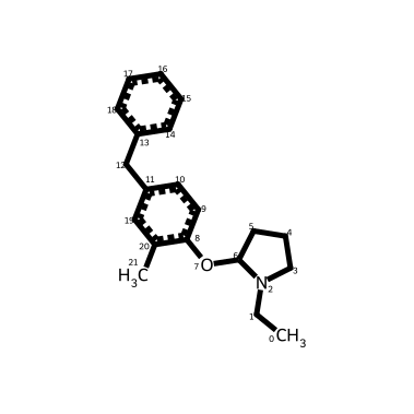 CCN1CCCC1Oc1ccc(Cc2ccccc2)cc1C